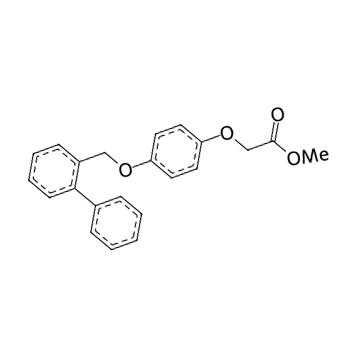 COC(=O)COc1ccc(OCc2ccccc2-c2ccccc2)cc1